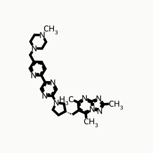 Cc1nc2nc(C)c(C[C@@H]3CCN(c4cnc(-c5ccc(CN6CCN(C)CC6)cn5)cn4)C3)c(C)n2n1